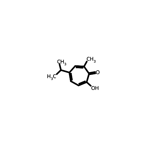 Cc1cc(C(C)C)ccc(O)c1=O